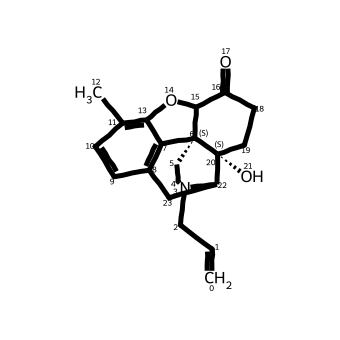 C=CCN1CC[C@]23c4c5ccc(C)c4OC2C(=O)CC[C@@]3(O)C1C5